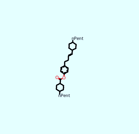 CCCCCC1CCC(C=CCCc2ccc(OC(=O)C3CCC(CCCCC)CC3)cc2)CC1